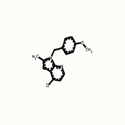 COc1ccc(Cn2c(C)cc3c(Cl)ccnc32)cc1